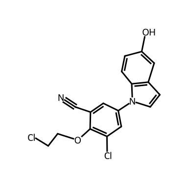 N#Cc1cc(-n2ccc3cc(O)ccc32)cc(Cl)c1OCCCl